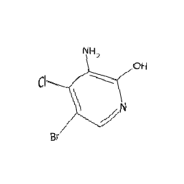 Nc1c(O)ncc(Br)c1Cl